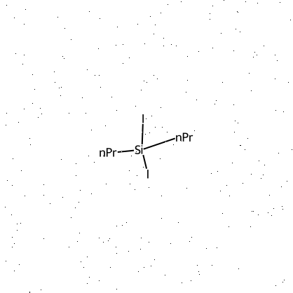 CCC[Si](I)(I)CCC